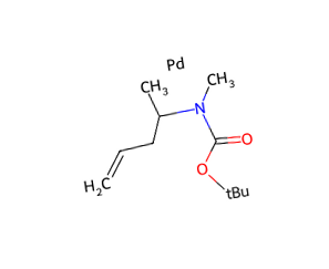 C=CCC(C)N(C)C(=O)OC(C)(C)C.[Pd]